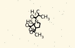 CC(=O)C1CCN(C(=O)C(C)C)[C@]1(S)C(=O)O